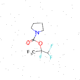 O=C(OC(F)(C(F)F)C(F)(F)F)N1CCCC1